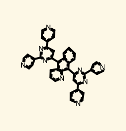 c1ccc2c(-c3cc(-c4ccncc4)nc(-c4ccncc4)n3)c3ncccc3c(-c3cc(-c4ccncc4)nc(-c4ccncc4)n3)c2c1